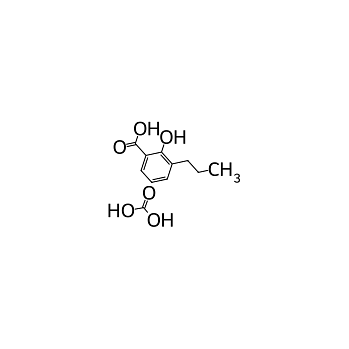 CCCc1cccc(C(=O)O)c1O.O=C(O)O